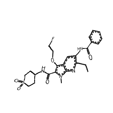 CCc1nc2c(cc1NC(=O)c1ccccc1)c(OCCF)c(C(=O)NC1CCS(=O)(=O)CC1)n2C